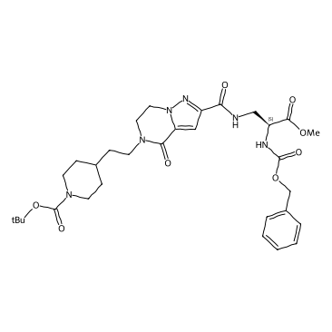 COC(=O)[C@H](CNC(=O)c1cc2n(n1)CCN(CCC1CCN(C(=O)OC(C)(C)C)CC1)C2=O)NC(=O)OCc1ccccc1